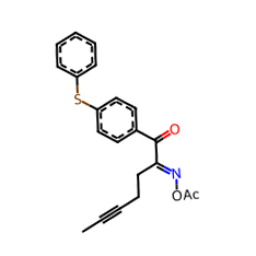 CC#CCC/C(=N\OC(C)=O)C(=O)c1ccc(Sc2ccccc2)cc1